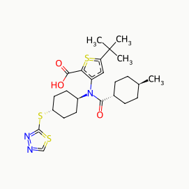 CC(C)(C)c1cc(N(C(=O)[C@H]2CC[C@H](C)CC2)[C@H]2CC[C@H](Sc3nncs3)CC2)c(C(=O)O)s1